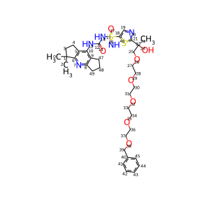 CC1(C)CCc2c1nc1c(c2NC(=O)NS(=N)(=O)c2cnc([C@@](C)(O)COCCOCCOCCOCCOCc3ccccc3)s2)CCC1